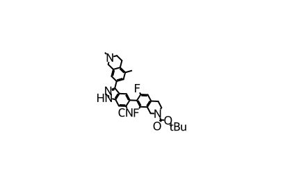 Cc1cc(-c2n[nH]c3cc(C#N)c(-c4c(F)cc5c(c4F)CN(C(=O)OC(C)(C)C)CC5)cc23)cc2c1CCN(C)C2